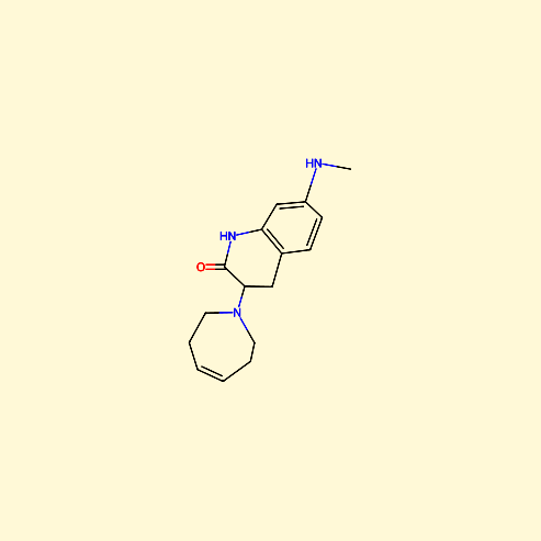 CNc1ccc2c(c1)NC(=O)C(N1CCC=CCC1)C2